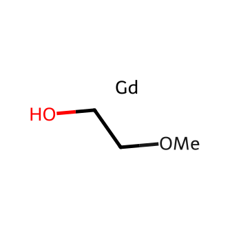 COCCO.[Gd]